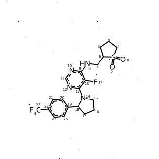 O=S1(=O)CCCC1CNc1ncnc(N2CCCC2c2ccc(C(F)(F)F)cc2)c1F